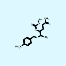 CC(OCc1ccc(C(=O)O)cc1)C(CCC(N)=O)NC(=O)OC(C)(C)C